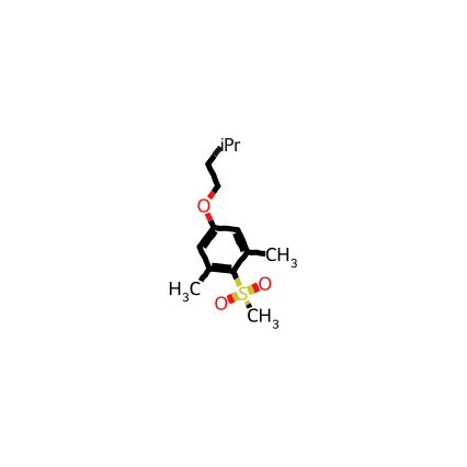 Cc1cc(OCCC(C)C)cc(C)c1S(C)(=O)=O